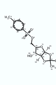 Cc1ccc(S(=O)(=O)OC[C@H]2O[C@H]3OC(C)(C)O[C@H]3[C@@H]2O)cc1